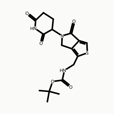 CC(C)(C)OC(=O)NCc1scc2c1CN(C1CCC(=O)NC1=O)C2=O